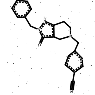 N#Cc1ccc(CN2CCc3[nH]n(Cc4ccccc4)c(=O)c3C2)cc1